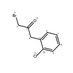 O=C(CBr)Cc1ccccc1Cl